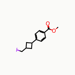 COC(=O)c1ccc(C2CC(CI)C2)cc1